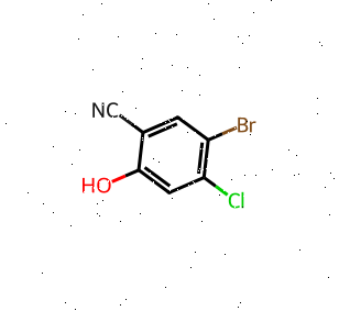 N#Cc1cc(Br)c(Cl)cc1O